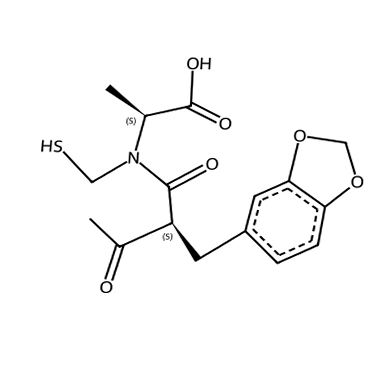 CC(=O)[C@H](Cc1ccc2c(c1)OCO2)C(=O)N(CS)[C@@H](C)C(=O)O